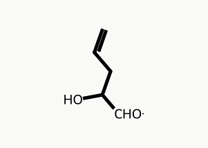 C=CCC(O)[C]=O